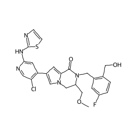 COCC1Cn2cc(-c3cc(Nc4nccs4)ncc3Cl)cc2C(=O)N1Cc1cc(F)ccc1CO